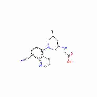 C[C@H]1C[C@@H](NCC(=O)O)CN(c2ccc(C#N)c3ncccc23)C1